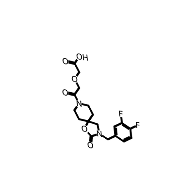 O=C(O)COCC(=O)N1CCC2(CC1)CN(Cc1ccc(F)c(F)c1)C(=O)O2